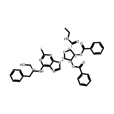 CCNC(=O)[C@H]1O[C@@H](n2cnc3c(N[C@H](CO)Cc4ccccc4)nc(I)nc32)[C@H](OC(=O)c2ccccc2)[C@@H]1OC(=O)c1ccccc1